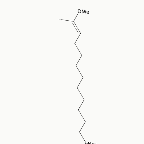 [CH2]C(=CCCCCCCCCCCCCCCCCCC)OC